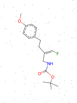 COc1ccc(CCC(=CF)CNC(=O)OC(C)(C)C)cc1